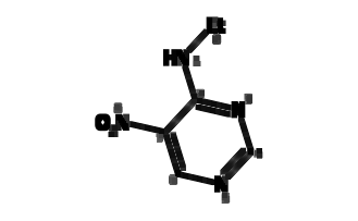 CCNc1ncncc1[N+](=O)[O-]